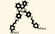 CCCCCC1CCC(C=CCOc2ccc(C(=O)O[C@H](c3ccccc3)[C@H](OC(=O)c3ccc(OCC=CC4CCC(CCCCC)CC4)cc3)c3ccccc3)cc2)CC1